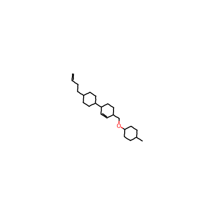 C=CCCC1CCC(C2C=CC(COC3CCC(C)CC3)CC2)CC1